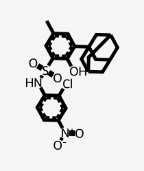 Cc1cc(C23CC4CC(CC(C4)C2)C3)c(O)c(S(=O)(=O)Nc2ccc([N+](=O)[O-])cc2Cl)c1